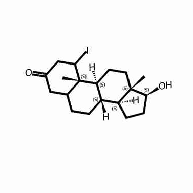 C[C@]12C(I)CC(=O)CC1CC[C@@H]1[C@@H]2CC[C@]2(C)[C@@H](O)CC[C@@H]12